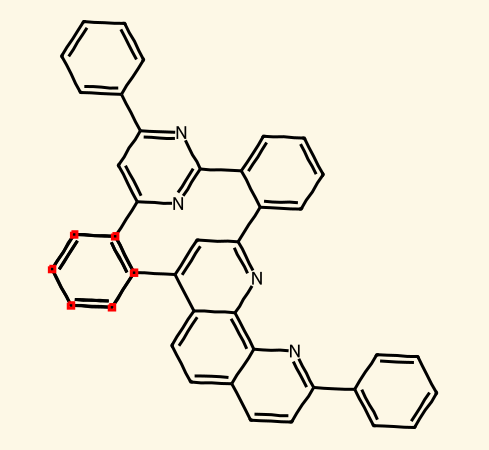 c1ccc(-c2cc(-c3ccccc3)nc(-c3ccccc3-c3cc(-c4ccccc4)c4ccc5ccc(-c6ccccc6)nc5c4n3)n2)cc1